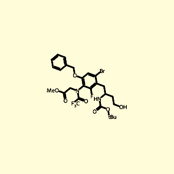 COC(=O)CN(C(=O)C(F)(F)F)c1c(OCc2ccccc2)cc(Br)c(CC(CCO)NC(=O)OC(C)(C)C)c1F